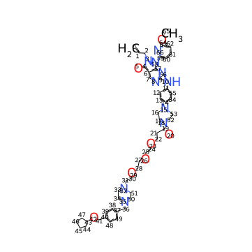 C=CCn1c(=O)c2cnc(Nc3ccc(N4CCN(C(=O)CCOCCOCCOCCN5CCN(Cc6ccc(COC7CCCC7)cc6)CC5)CC4)cc3)nc2n1-c1cccc(OC)n1